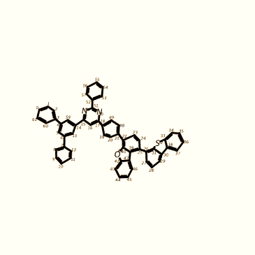 c1ccc(-c2cc(-c3ccccc3)cc(-c3cc(-c4ccc(-c5ccc(-c6cccc7c6sc6ccccc67)c6c5oc5ccccc56)cc4)nc(-c4ccccc4)n3)c2)cc1